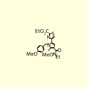 CCOC(=O)c1nc(-c2cc(C(=O)N(CC)OC)c(C)n2Cc2ccc(OC)cc2)cs1